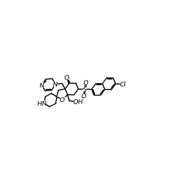 O=C1CC(S(=O)(=O)c2ccc3cc(Cl)ccc3c2)CC2(CO)OC3(CCNCC3)CC12CN1C=CN=CC1